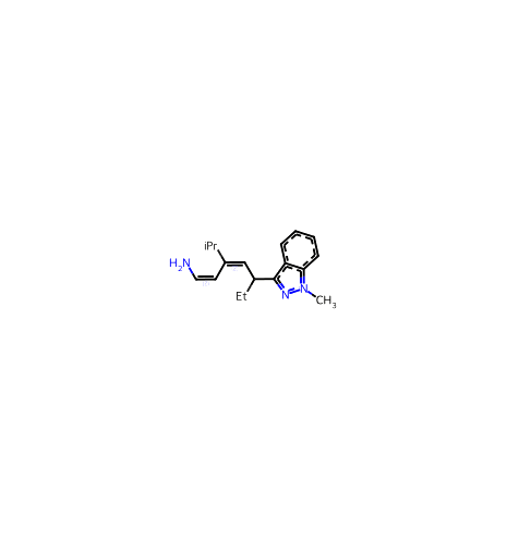 CCC(/C=C(\C=C/N)C(C)C)c1nn(C)c2ccccc12